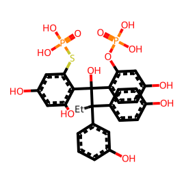 CCC(c1ccc(O)cc1)(c1cccc(O)c1)C(O)(c1ccc(O)cc1OP(=O)(O)O)c1c(O)cc(O)cc1SP(=O)(O)O